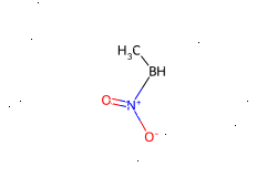 CB[N+](=O)[O-]